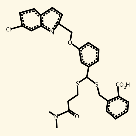 CN(C)C(=O)CCSC(SCc1ccccc1C(=O)O)c1cccc(OCc2ccc3ccc(Cl)cc3n2)c1